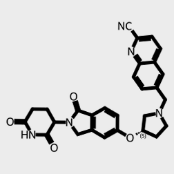 N#Cc1ccc2cc(CN3CC[C@H](Oc4ccc5c(c4)CN(C4CCC(=O)NC4=O)C5=O)C3)ccc2n1